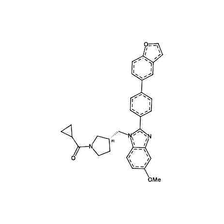 COc1ccc2c(c1)nc(-c1ccc(-c3ccc4occc4c3)cc1)n2C[C@@H]1CCN(C(=O)C2CC2)C1